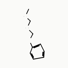 COCOCOc1ccccc1